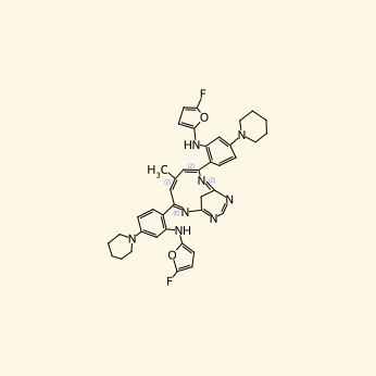 CC1=C/C(c2ccc(N3CCCCC3)cc2Nc2ccc(F)o2)=N\C2=NC=N\C(=N/C(c3ccc(N4CCCCC4)cc3Nc3ccc(F)o3)=C\1)C2